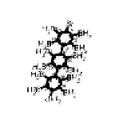 Bc1c(B)c(B)c(-c2c(B)c(B)c(-c3c(B)c(B)c(Br)c(B)c3B)c(B)c2B)c(B)c1B